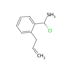 C=CCc1ccccc1C([SiH3])Cl